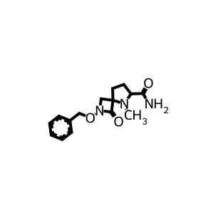 CN1C(C(N)=O)CCC12CN(OCc1ccccc1)C2=O